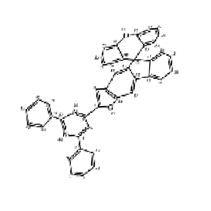 c1ccc(-c2cc(-c3cc4cc5c(cc4o3)-c3ccccc3C53c4ccccc4Oc4ccccc43)nc(-c3ccccc3)n2)cc1